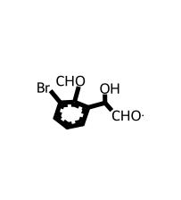 O=[C]C(O)c1cccc(Br)c1C=O